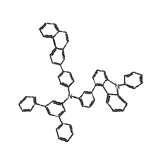 c1ccc(-c2cc(-c3ccccc3)cc(N(c3ccc(-c4ccc5c(ccc6ccccc65)c4)cc3)c3cccc(-c4cccc5c4c4ccccc4n5-c4ccccc4)c3)c2)cc1